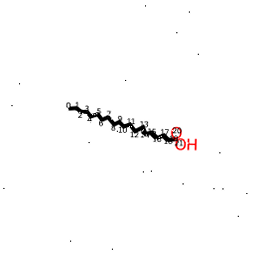 CCCCCCCCCCCCCC=CC=C/C=C/C(=O)O